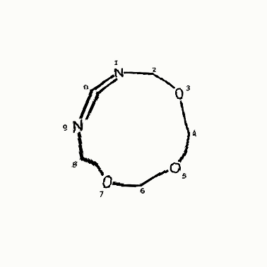 C1=NCOCOCOCN=1